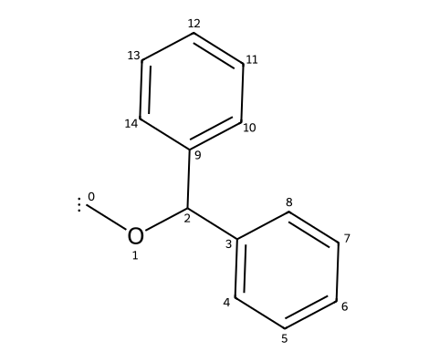 [C]OC(c1ccccc1)c1ccccc1